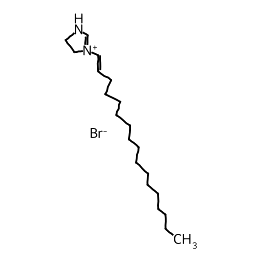 CCCCCCCCCCCCCCCC=C[N+]1=CNCC1.[Br-]